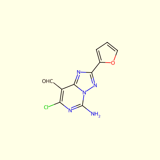 Nc1nc(Cl)c(C=O)c2nc(-c3ccco3)nn12